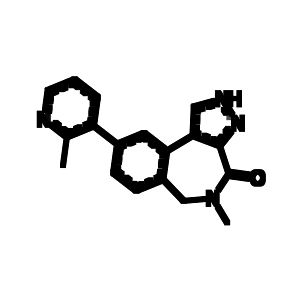 Cc1ncccc1-c1ccc2c(c1)-c1c[nH]nc1C(=O)N(C)C2